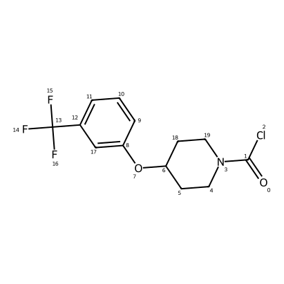 O=C(Cl)N1CCC(Oc2cccc(C(F)(F)F)c2)CC1